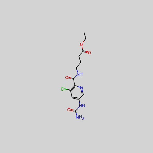 CCOC(=O)CCCNC(=O)c1ncc(NC(N)=O)cc1Cl